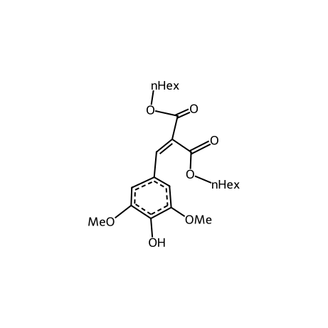 CCCCCCOC(=O)C(=Cc1cc(OC)c(O)c(OC)c1)C(=O)OCCCCCC